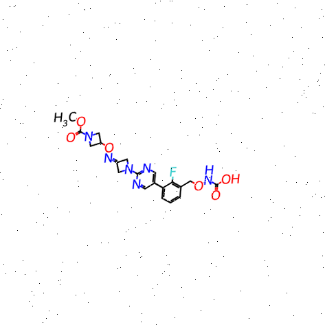 COC(=O)N1CC(ON=C2CN(c3ncc(-c4cccc(CONC(=O)O)c4F)cn3)C2)C1